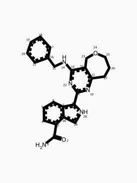 NC(=O)c1cccc2c(-c3nc4c(c(NCc5ccccc5)n3)COCCC4)[nH]cc12